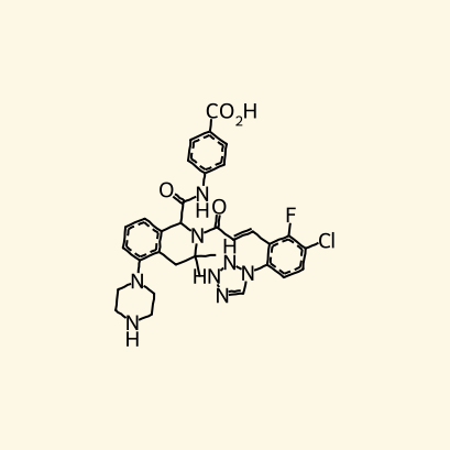 CC1(C)Cc2c(cccc2N2CCNCC2)C(C(=O)Nc2ccc(C(=O)O)cc2)N1C(=O)/C=C/c1c(N2C=NNN2)ccc(Cl)c1F